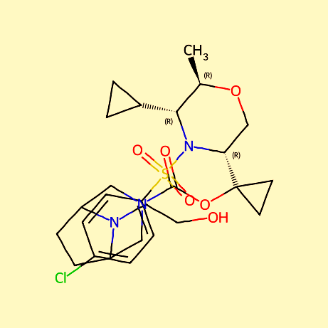 C[C@H]1OC[C@H](C2(OC(=O)N3CC4CCC(C3)N4CCO)CC2)N(S(=O)(=O)c2ccc(Cl)cc2)[C@@H]1C1CC1